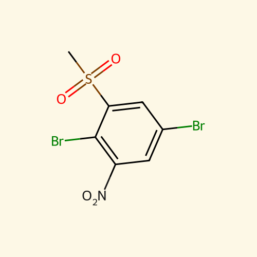 CS(=O)(=O)c1cc(Br)cc([N+](=O)[O-])c1Br